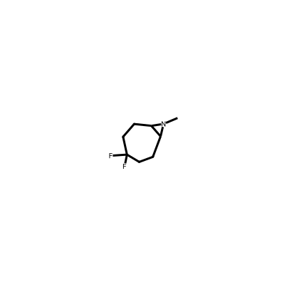 CN1C2CCC(F)(F)CCC21